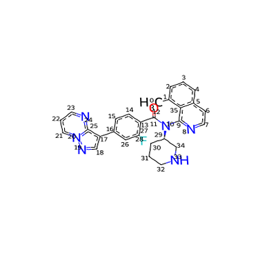 Cc1cccc2ccnc(N(C(=O)c3ccc(-c4cnn5cccnc45)cc3F)[C@@H]3CCCNC3)c12